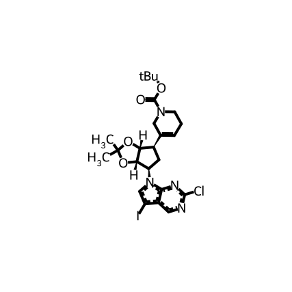 CC(C)(C)OC(=O)N1CCC=C([C@H]2C[C@@H](n3cc(I)c4cnc(Cl)nc43)[C@@H]3OC(C)(C)O[C@@H]32)C1